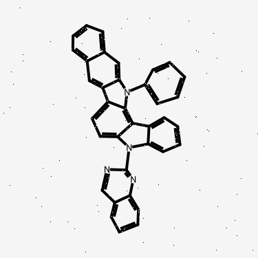 c1ccc(-n2c3cc4ccccc4cc3c3ccc4c(c5ccccc5n4-c4ncc5ccccc5n4)c32)cc1